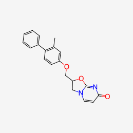 Cc1cc(OCC2Cn3ccc(=O)nc3O2)ccc1-c1ccccc1